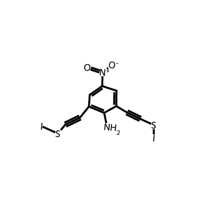 Nc1c(C#CSI)cc([N+](=O)[O-])cc1C#CSI